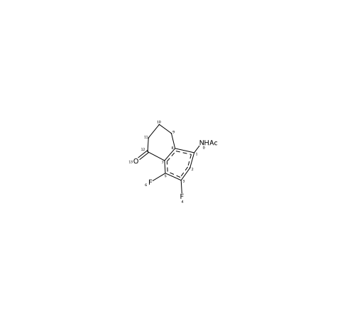 CC(=O)Nc1cc(F)c(F)c2c1CCCC2=O